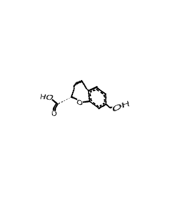 O=C(O)[C@@H]1CCc2ccc(O)cc2O1